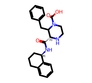 O=C(N[C@@H]1CCCc2ccccc21)[C@H]1NCCN(C(=O)O)C1Cc1ccccc1